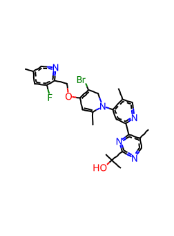 CC1=CC(OCc2ncc(C)cc2F)=C(Br)CN1c1cc(-c2nc(C(C)(C)O)ncc2C)ncc1C